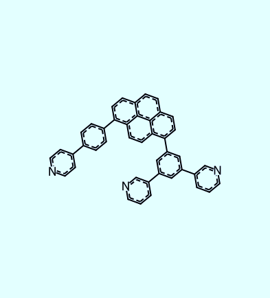 c1cncc(-c2cc(-c3cccnc3)cc(-c3ccc4ccc5ccc(-c6ccc(-c7ccncc7)cc6)c6ccc3c4c56)c2)c1